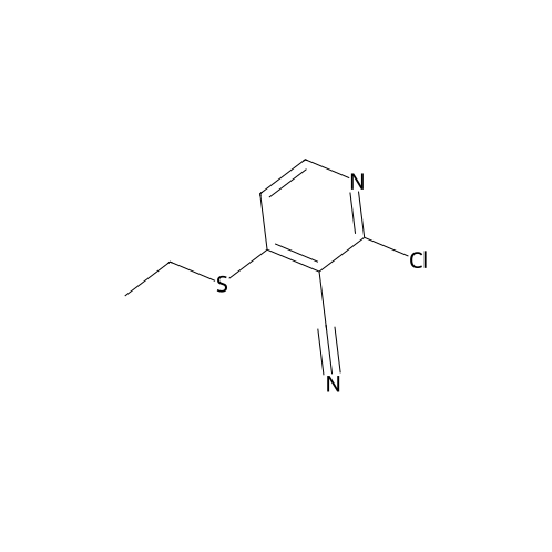 CCSc1ccnc(Cl)c1C#N